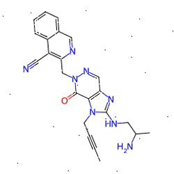 CC#CCn1c(NCC(C)N)nc2cnn(Cc3ncc4ccccc4c3C#N)c(=O)c21